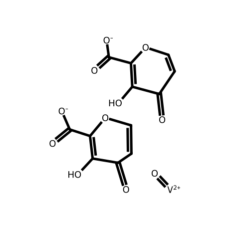 O=C([O-])c1occc(=O)c1O.O=C([O-])c1occc(=O)c1O.[O]=[V+2]